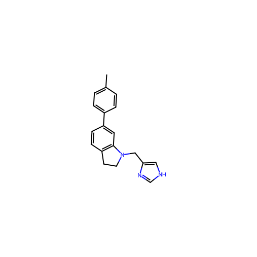 Cc1ccc(-c2ccc3c(c2)N(Cc2c[nH]cn2)CC3)cc1